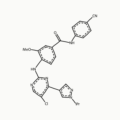 COc1cc(C(=O)Nc2ccc(C#N)cc2)ccc1Nc1ncc(Cl)c(-c2cnn(C(C)C)c2)n1